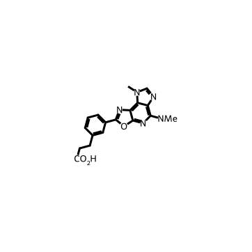 CNc1nc2oc(-c3cccc(CCC(=O)O)c3)nc2c2c1ncn2C